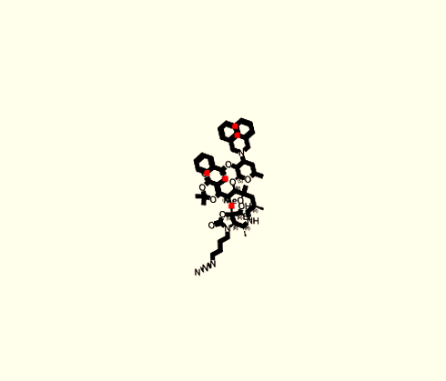 CC[C@@H](O)[C@@]1(C)OC(=O)N(CCCCN=[N+]=[N-])[C@@H]1[C@@H](C)NC[C@H](C)C[C@@](C)(OC)[C@H](O[C@@H]1OC(C)CC(N(Cc2ccccc2)Cc2ccccc2)C1OC(=O)c1ccccc1)[C@@H](C)C1=C(C)C(=O)OC(C)(C)O1